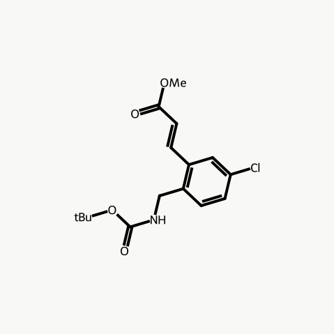 COC(=O)C=Cc1cc(Cl)ccc1CNC(=O)OC(C)(C)C